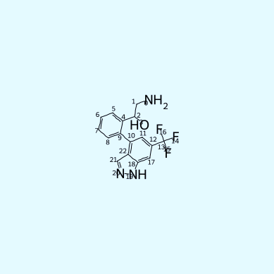 NCC(O)c1ccccc1-c1cc(C(F)(F)F)cc2[nH]ncc12